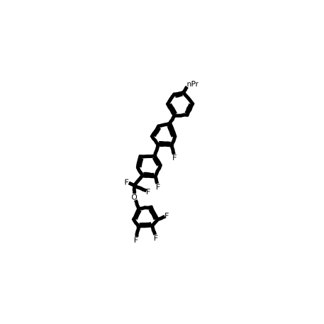 CCCc1ccc(-c2ccc(-c3ccc(C(F)(F)Oc4cc(F)c(F)c(F)c4)c(F)c3)c(F)c2)cc1